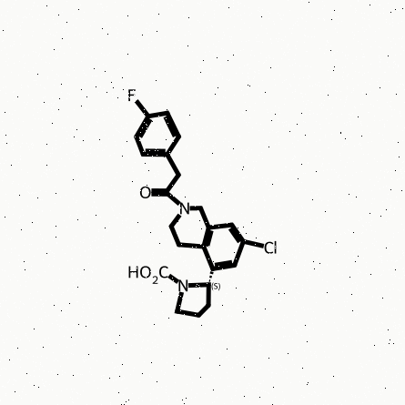 O=C(Cc1ccc(F)cc1)N1CCc2c(cc(Cl)cc2[C@@H]2CCCN2C(=O)O)C1